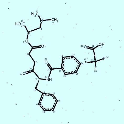 CN(C)CC(OC(=O)CCC(=O)[C@H](Cc1ccccc1)NC(=O)c1ccccc1)C(=O)O.O=C(O)C(F)(F)F